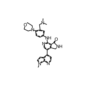 CN(C)Cc1cc(Nc2ncc(-c3ccnc4c3ccn4C)c3c2C(=O)NC3)ccc1N1CCOCC1